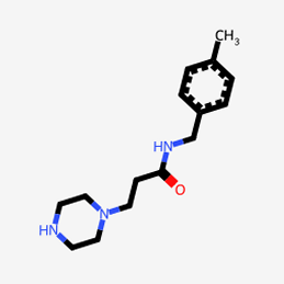 Cc1ccc(CNC(=O)CCN2CCNCC2)cc1